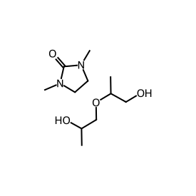 CC(O)COC(C)CO.CN1CCN(C)C1=O